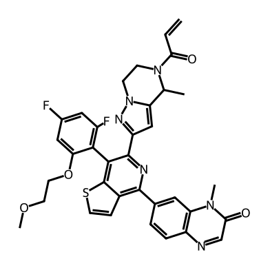 C=CC(=O)N1CCn2nc(-c3nc(-c4ccc5ncc(=O)n(C)c5c4)c4ccsc4c3-c3c(F)cc(F)cc3OCCOC)cc2C1C